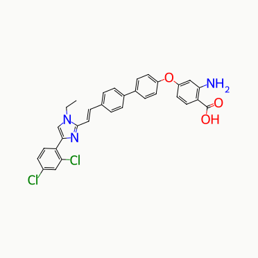 CCn1cc(-c2ccc(Cl)cc2Cl)nc1/C=C/c1ccc(-c2ccc(Oc3ccc(C(=O)O)c(N)c3)cc2)cc1